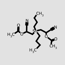 CCC[CH2][Sn]([CH2]CCC)([CH2]C(C#N)OC(C)=O)[CH2]C(C#N)OC(C)=O